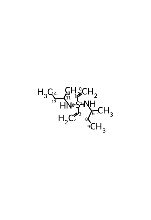 C=CS(C=C)(NC(C)CC)NC(C)CC